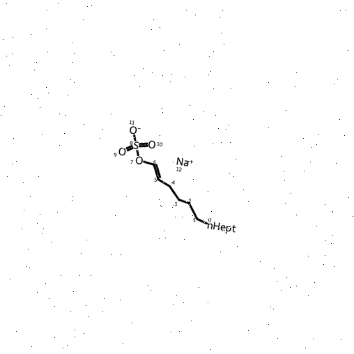 CCCCCCCCCCCC=COS(=O)(=O)[O-].[Na+]